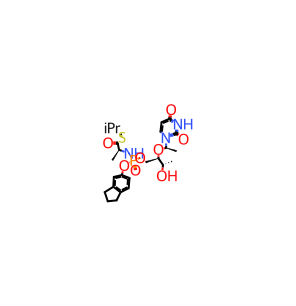 CC(C)SC(=O)[C@H](C)N[P@](=O)(OC[C@@H](O[C@H](C)n1ccc(=O)[nH]c1=O)[C@H](C)O)Oc1ccc2c(c1)CCC2